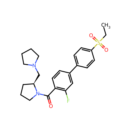 CCS(=O)(=O)c1ccc(-c2ccc(C(=O)N3CCC[C@H]3CN3CCCC3)c(F)c2)cc1